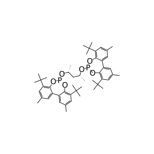 Cc1cc(C(C)(C)C)c2op(O[C@H](C)C[C@@H](C)Op3oc4c(C(C)(C)C)cc(C)cc4c4cc(C)cc(C(C)(C)C)c4o3)oc3c(C(C)(C)C)cc(C)cc3c2c1